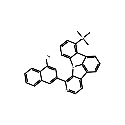 CC(C)c1cc(-c2nccc3c4cccc5c6c(S(C)(C)C)cccc6n(c23)c45)cc2ccccc12